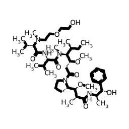 CC[C@H](C)[C@@H]([C@@H](CC(=O)N1CCC[C@H]1[C@H](OC)[C@@H](C)C(=O)N[C@H](C)[C@@H](O)c1ccccc1)OC)N(C)C(=O)[C@@H](NC(=O)[C@H](C(C)C)N(C)CCOCCO)C(C)C